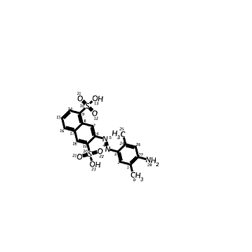 Cc1cc(N=Nc2cc3c(S(=O)(=O)O)cccc3cc2S(=O)(=O)O)c(C)cc1N